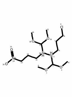 COC(OC)[SiH](CCCCl)[SiH](CCC[N+](=O)[O-])C(OC)OC